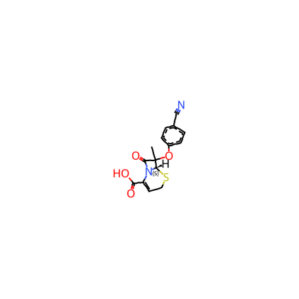 CC1(Oc2ccc(C#N)cc2)C(=O)N2C(C(=O)O)=CCS[C@H]21